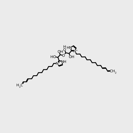 C=CC=CCCCCCCCCCC[n+]1cc[nH]c1C(O)C(O)OC(O)C(O)c1[nH]cc[n+]1CCCCCCCCCCC=CC=C